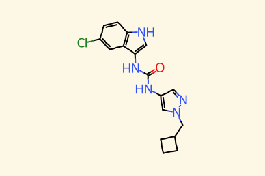 O=C(Nc1cnn(CC2CCC2)c1)Nc1c[nH]c2ccc(Cl)cc12